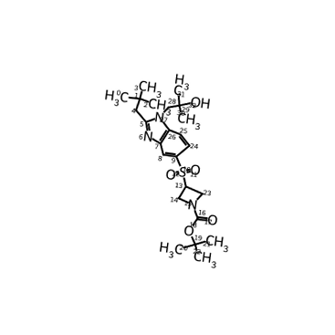 CC(C)(C)Cc1nc2cc(S(=O)(=O)C3CN(C(=O)OC(C)(C)C)C3)ccc2n1CC(C)(C)O